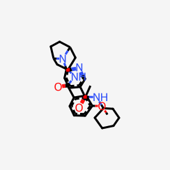 COc1cccc(C(=O)NC2CC3CCC(C2)N3c2ccc(C(=O)NC3CCCCC3)cn2)c1C